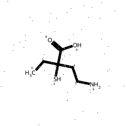 CCC(S)(CCN)C(=O)O